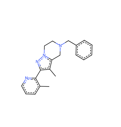 Cc1cccnc1-c1nn2c(c1C)CN(Cc1ccccc1)CC2